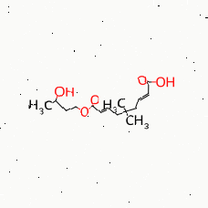 CC(O)CCOC(=O)C=CCC(C)(C)CC=CC(=O)O